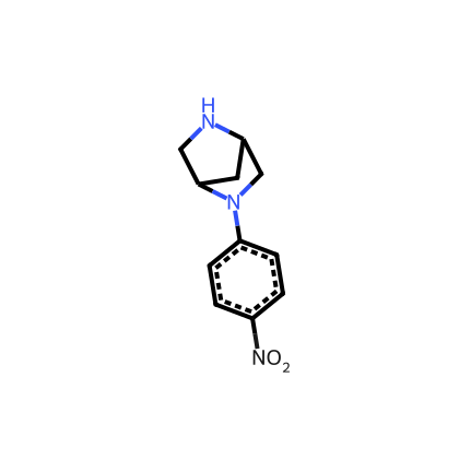 O=[N+]([O-])c1ccc(N2CC3CC2CN3)cc1